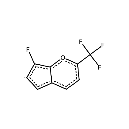 Fc1[c]cc2ccc(C(F)(F)F)oc1-2